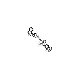 O=C(Nc1ccc2c(c1)OCCO2)OCCCN1CCN(c2nccc3ccccc23)CC1